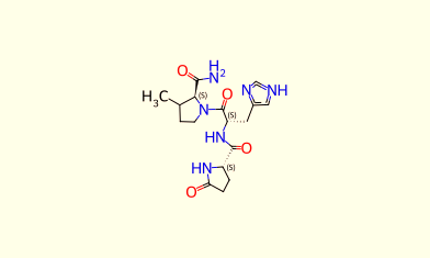 CC1CCN(C(=O)[C@H](Cc2c[nH]cn2)NC(=O)[C@@H]2CCC(=O)N2)[C@@H]1C(N)=O